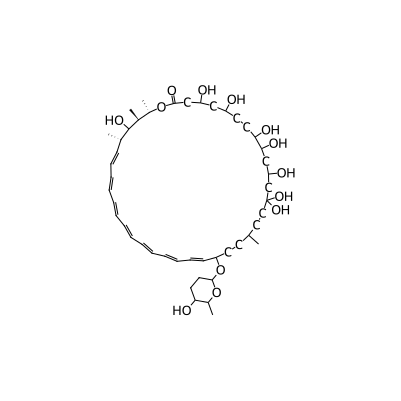 CC1CCC(OC2CCC(O)C(C)O2)/C=C/C=C/C=C/C=C/C=C/C=C/C=C/[C@H](C)C(O)[C@@H](C)[C@H](C)OC(=O)CC(O)CC(O)CCC(O)C(O)CC(O)CC(O)(O)CC1